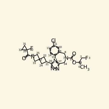 C[C@H](CF)OC(=O)N1Cc2cc(Cl)ccc2-n2c(nnc2C2CC3(C2)CN(C(=O)C2(F)CC2)C3)C1